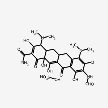 CN(C)c1c(Cl)c(NC=O)c(O)c2c1CC1CC3C(N(C)C)C(O)=C(C(N)=O)C(=O)C3(O)C(O)=C1C2=O.O=S(=O)(O)O